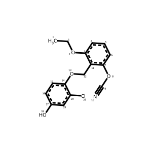 CCOc1cccc(OC#N)c1COc1ccc(O)cc1Cl